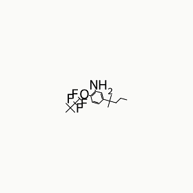 CCCC(C)(C)c1ccc(OC(F)(F)C(F)(F)C(C)(C)C)c(N)c1